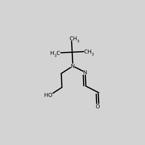 CC(C)(C)N(CCO)N=C[C]=O